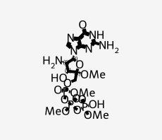 CO[C@]1(COP(=O)(OC)OP(=O)(OC)OP(=O)(O)OC)O[C@@H](n2cnc3c(=O)[nH]c(N)nc32)[C@@H](N)[C@@H]1O